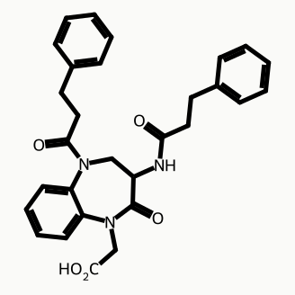 O=C(O)CN1C(=O)C(NC(=O)CCc2ccccc2)CN(C(=O)CCc2ccccc2)c2ccccc21